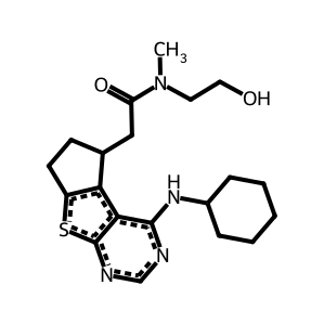 CN(CCO)C(=O)CC1CCc2sc3ncnc(NC4CCCCC4)c3c21